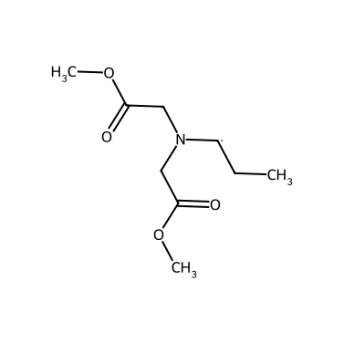 CC[CH]N(CC(=O)OC)CC(=O)OC